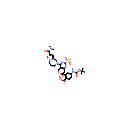 C[C@@H]1OC[C@]2(Cc3nc(S(C)(=O)=O)nc(N4CCCn5nc(C(=O)N(C)C)cc5C4)c3CO2)c2cc(NC(=O)OC(C)(C)C)ccc21